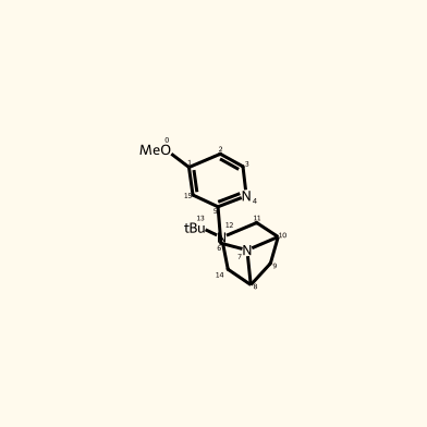 COc1ccnc(CN2C3CC2CN(C(C)(C)C)C3)c1